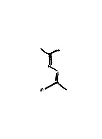 CC(C)=N/N=C(/C)C(C)C